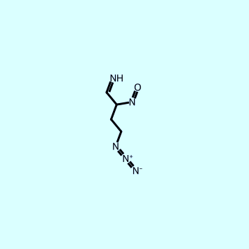 [N-]=[N+]=NCCC(C=N)N=O